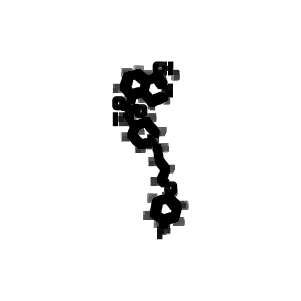 Cc1nccc2c(S(=O)(=O)NC3CCN(CCCCOc4ccc(F)cc4)CC3)cccc12